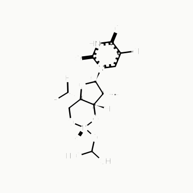 CC(C)OP1(=S)OC[C@@]2(C(F)F)O[C@@H](n3cc(Cl)c(=O)[nH]c3=O)[C@H](F)[C@@H]2O1